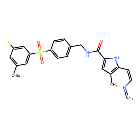 C=N/C=C\c1[nH]c(C(=O)NCc2ccc(S(=O)(=O)c3cc(F)cc(OCC(C)C)c3)cc2)cc1C